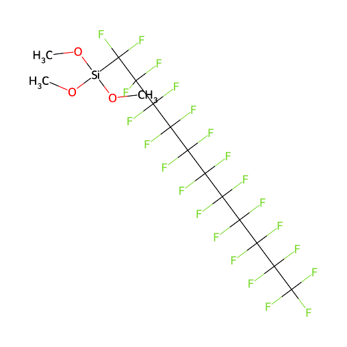 CO[Si](OC)(OC)C(F)(F)C(F)(F)C(F)(F)C(F)(F)C(F)(F)C(F)(F)C(F)(F)C(F)(F)C(F)(F)C(F)(F)C(F)(F)F